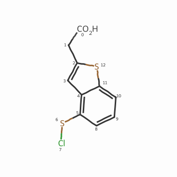 O=C(O)Cc1cc2c(SCl)cccc2s1